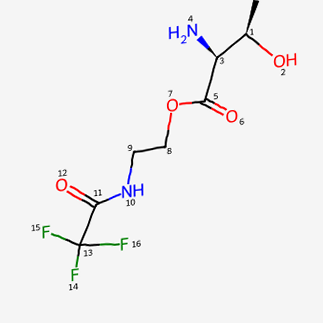 C[C@@H](O)[C@H](N)C(=O)OCCNC(=O)C(F)(F)F